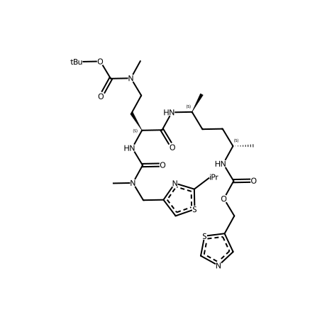 CC(C)c1nc(CN(C)C(=O)N[C@@H](CCN(C)C(=O)OC(C)(C)C)C(=O)N[C@@H](C)CC[C@H](C)NC(=O)OCc2cncs2)cs1